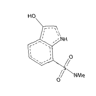 CNS(=O)(=O)c1cccc2c(O)c[nH]c12